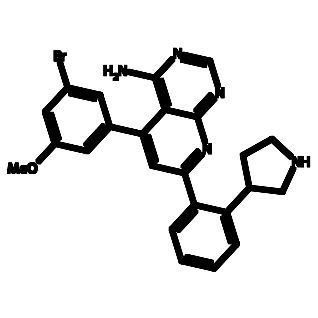 COc1cc(Br)cc(-c2cc(-c3ccccc3C3CCNC3)nc3ncnc(N)c23)c1